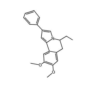 CCC1Cc2cc(OC)c(OC)cc2-c2cc(-c3ccccc3)cn21